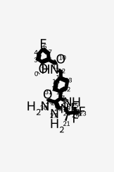 COc1ccc(F)cc1C(=O)NCc1ccc(C2NN([C@H](C)C(F)(F)F)C(N)=C2C(N)=O)cc1